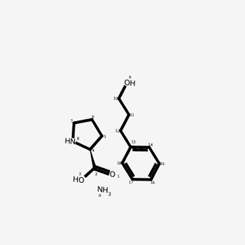 N.O=C(O)[C@@H]1CCCN1.OCCCc1ccccc1